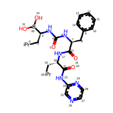 CC(C)C[C@H](NC(=O)N[C@@H](Cc1ccccc1)C(=O)N[C@@H](CC(C)C)C(=O)Nc1cnccn1)B(O)O